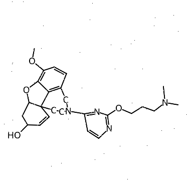 COc1ccc2c3c1OC1CC(O)C=CC31CCN(c1ccnc(OCCCN(C)C)n1)C2